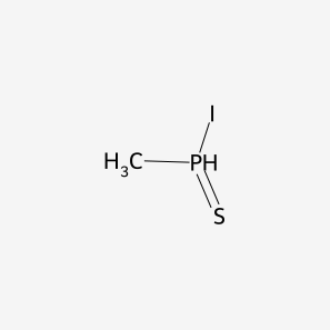 C[PH](=S)I